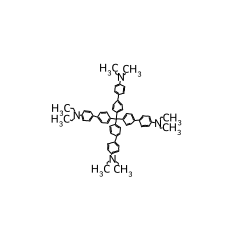 CCN(CC)c1ccc(-c2ccc(C(c3ccc(-c4ccc(N(CC)CC)cc4)cc3)(c3ccc(-c4ccc(N(CC)CC)cc4)cc3)c3ccc(-c4ccc(N(CC)CC)cc4)cc3)cc2)cc1